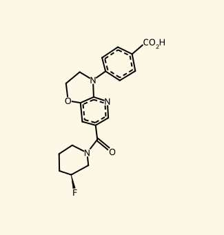 O=C(O)c1ccc(N2CCOc3cc(C(=O)N4CCC[C@H](F)C4)cnc32)cc1